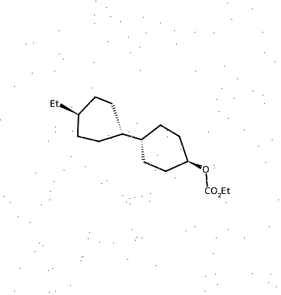 CCOC(=O)O[C@H]1CC[C@H]([C@H]2CC[C@H](CC)CC2)CC1